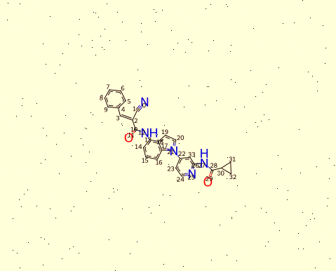 N#CC(=Cc1ccccc1)C(=O)Nc1cccc2c1ccn2-c1ccnc(NC(=O)C2CC2)c1